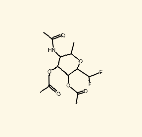 CC(=O)NC1C(C)OC(C(F)F)C(OC(C)=O)C1OC(C)=O